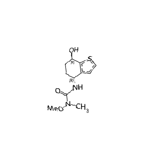 CON(C)C(=O)N[C@@H]1CC[C@@H](O)c2sccc21